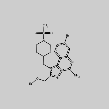 CCOCc1nc2c(N)nc3cc(Br)ccc3c2n1CC1CCN(S(C)(=O)=O)CC1